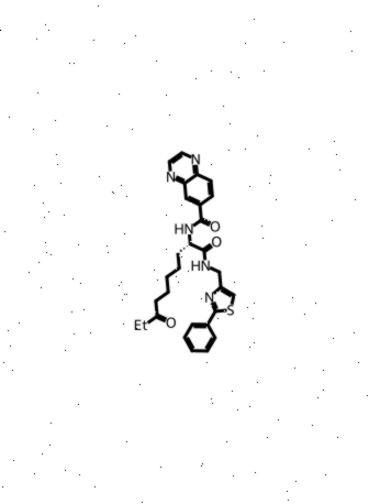 CCC(=O)CCCCC[C@H](NC(=O)c1ccc2nccnc2c1)C(=O)NCc1csc(-c2ccccc2)n1